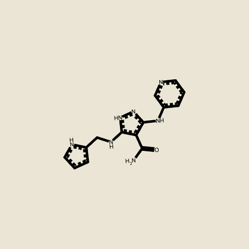 NC(=O)c1c(Nc2cccnc2)n[nH]c1NCc1ccc[nH]1